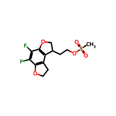 CS(=O)(=O)OCCC1COc2c(F)c(F)c3c(c21)CCO3